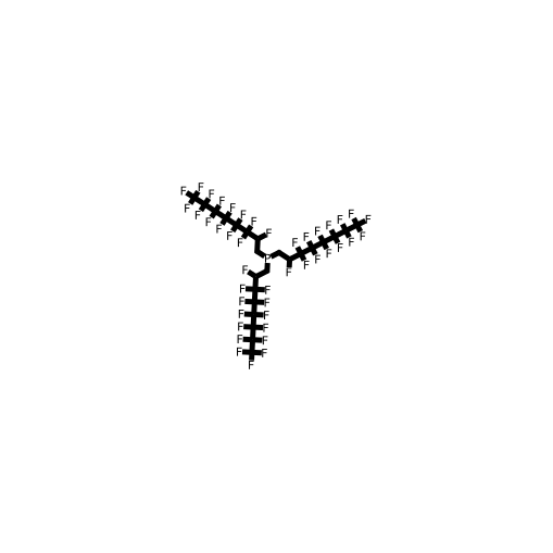 FC(CP(CC(F)C(F)(F)C(F)(F)C(F)(F)C(F)(F)C(F)(F)C(F)(F)F)CC(F)C(F)(F)C(F)(F)C(F)(F)C(F)(F)C(F)(F)C(F)(F)F)C(F)(F)C(F)(F)C(F)(F)C(F)(F)C(F)(F)C(F)(F)F